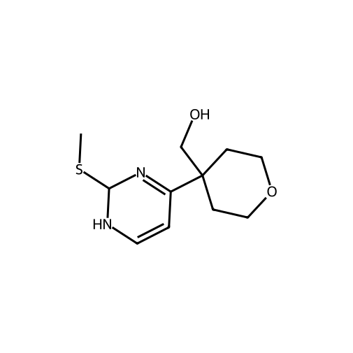 CSC1N=C(C2(CO)CCOCC2)C=CN1